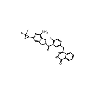 Nc1nc(C2CC2(F)F)nc2c1CN(C(=O)c1cc(Cc3n[nH]c(=O)c4ccccc34)ccc1F)C2